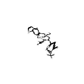 Cc1cc(C(CS(=O)(=O)Cc2ccc3sccc3c2)N(O)C=O)nn1C(C)(C)C